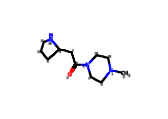 CN1CCN(C(=O)CC2CCCN2)CC1